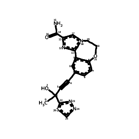 CC(O)(C#Cc1ccc2c(c1)-c1nc(C(N)=O)cn1CCO2)c1nncs1